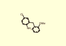 COc1ccccc1Cc1cc(Cl)ccc1N